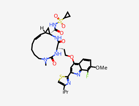 COc1ccc2c(OCC[C@@H]3NC(=O)N(C)CCCC/C=C\[C@@H]4C[C@@]4(C(=O)NS(=O)(=O)C4CC4)NC3=O)cc(-c3nc(C(C)C)cs3)nc2c1F